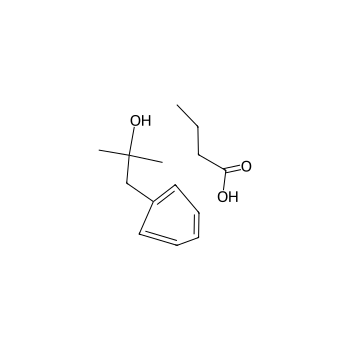 CC(C)(O)Cc1ccccc1.CCCC(=O)O